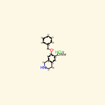 COc1cc2c(cc1OCc1ccccc1)CNCC2.Cl